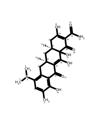 Cc1cc(N(C)C)c2c(c1O)C(=O)C1=C(O)C3(O)C(=O)C(C(N)=O)=C(O)C[C@@H]3C[C@@H]1C2